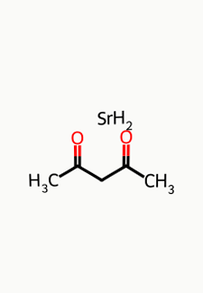 CC(=O)CC(C)=O.[SrH2]